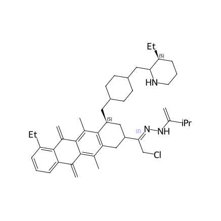 C=C(N/N=C(\CCl)C1Cc2c(c(C)c3c(=C)c4c(CC)cccc4c(=C)c3c2C)[C@@H](CC2CCC(CC3NCCC[C@@H]3CC)CC2)C1)C(C)C